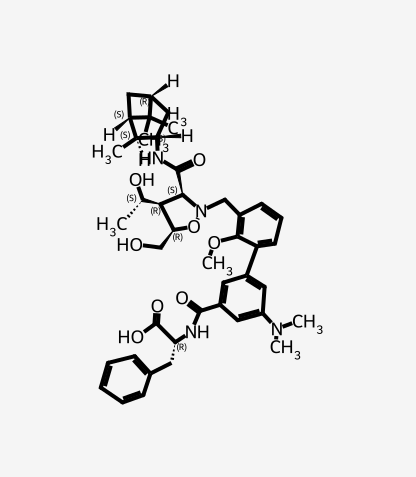 COc1c(CN2O[C@@H](CO)[C@@H]([C@H](C)O)[C@H]2C(=O)N[C@H]2C[C@H]3C[C@@H]([C@@H]2C)C3(C)C)cccc1-c1cc(C(=O)N[C@H](Cc2ccccc2)C(=O)O)cc(N(C)C)c1